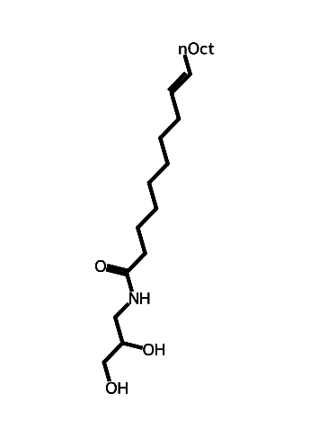 CCCCCCCCC=CCCCCCCCC(=O)NCC(O)CO